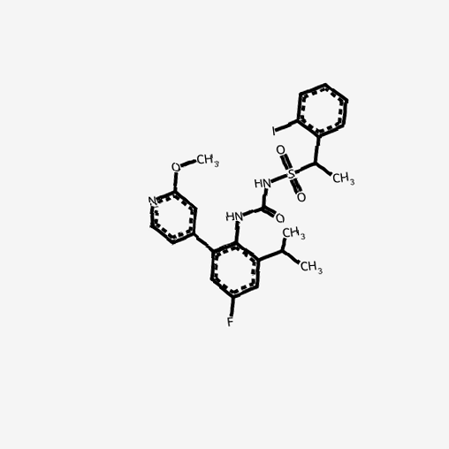 COc1cc(-c2cc(F)cc(C(C)C)c2NC(=O)NS(=O)(=O)C(C)c2ccccc2I)ccn1